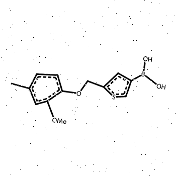 COc1cc(C)ccc1OCc1cc(B(O)O)cs1